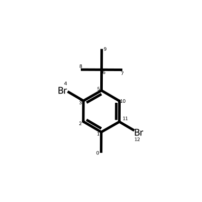 Cc1cc(Br)c(C(C)(C)C)cc1Br